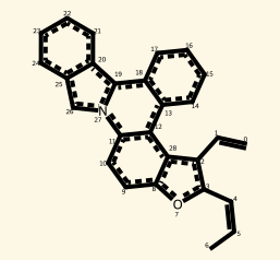 C=Cc1c(/C=C\C)oc2ccc3c(c4ccccc4c4c5ccccc5cn34)c12